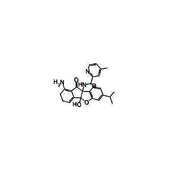 Cc1ccnc(C(=O)NC23C(=O)C4=C(N)CCC=C4C2(O)Oc2cc(C(C)C)ccc23)c1